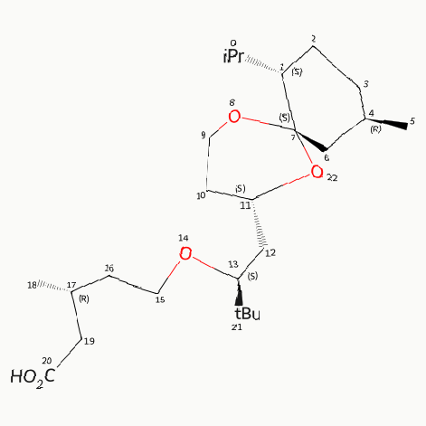 CC(C)[C@@H]1CC[C@@H](C)C[C@@]12OCC[C@@H](C[C@H](OCC[C@@H](C)CC(=O)O)C(C)(C)C)O2